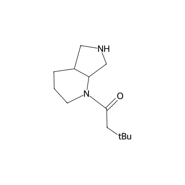 CC(C)(C)CC(=O)N1CCCC2CNCC21